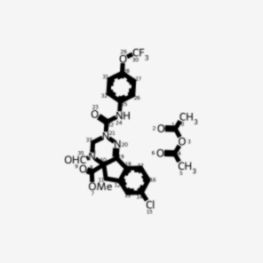 CC(=O)OC(C)=O.COC(=O)C12Cc3cc(Cl)ccc3C1=NN(C(=O)Nc1ccc(OC(F)(F)F)cc1)CN2C=O